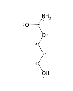 NC(=O)OCCCO